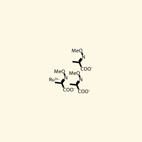 CON=C(C)C(=O)[O-].CON=C(C)C(=O)[O-].CON=C(C)C(=O)[O-].[Ru+3]